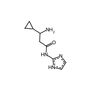 NC(CC(=O)Nc1ncc[nH]1)C1CC1